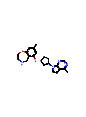 Cc1cc2c(c(O[C@@H]3CCC(n4ccc5c(C)ncnc54)C3)c1)CNCCO2